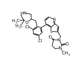 CN1CCC(=O)N(Cc2cc3nccc(-c4cc(Cl)cc(Cl)c4CC4CNCC(C)(C)O4)c3s2)C1=O